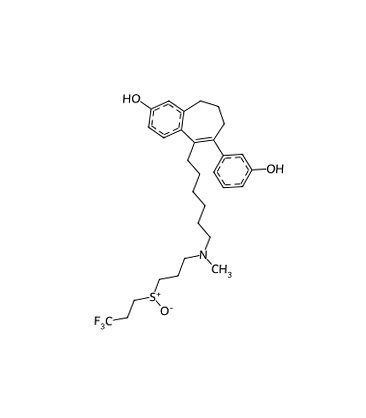 CN(CCCCCCC1=C(c2cccc(O)c2)CCCc2cc(O)ccc21)CCC[S+]([O-])CCC(F)(F)F